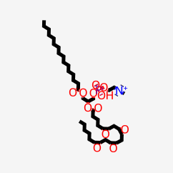 CCCCCCCCCCCCCCCC(=O)OCC(COP(=O)(O)OCC[N+](C)(C)C)OC(=O)CCCC1OC1CC1OC1CC1OC1CC1OC1CCCCC